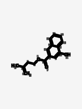 C=C(C)CCOC(=O)c1cc(O)c2ccccc2c1